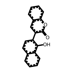 O=c1oc2ccccc2cc1-c1ccc2ccccc2c1O